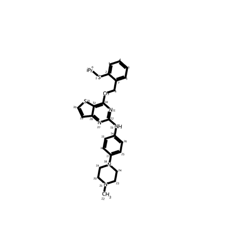 CC(C)Sc1ccccc1COc1nc(Nc2ccc(N3CCN(C)CC3)cc2)nc2ccsc12